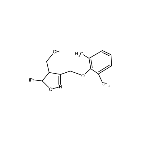 Cc1cccc(C)c1OCC1=NOC(C(C)C)C1CO